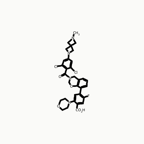 CN1CC2(C1)CN(c1cc(Cl)c(C(=O)N3COc4c(cccc4-c4cc(N5CCOCC5)c(C(=O)O)cc4F)C3)c(Cl)c1)C2